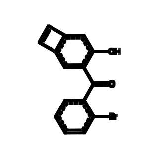 O=C(c1cc2c(cc1O)C=C2)c1ccccc1Br